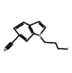 N#Cc1ccc2ccn(CCCI)c2c1